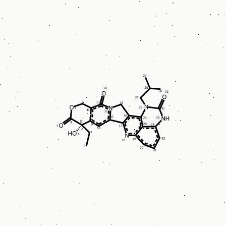 CC[C@@]1(O)C(=O)OCc2c1cc1n(c2=O)Cc2c-1nc1cccc3c1c2N(CC(C)C)C(=O)N3